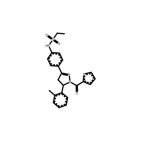 CCS(=O)(=O)Nc1ccc(C2=NN(C(=O)c3cccs3)C(c3ccccc3C)C2)cc1